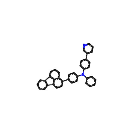 c1ccc(N(c2ccc(-c3cccnc3)cc2)c2ccc(-c3ccc4c5c(cccc35)-c3ccccc3-4)cc2)cc1